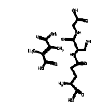 C/C(C(=O)O)=C(/C)C(=O)O.NC(CCC(=O)NC(CS)C(=O)NCC(=O)O)C(=O)O